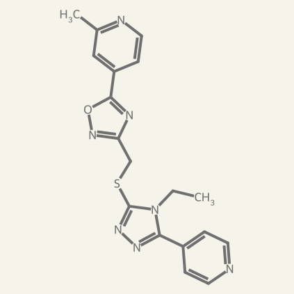 CCn1c(SCc2noc(-c3ccnc(C)c3)n2)nnc1-c1ccncc1